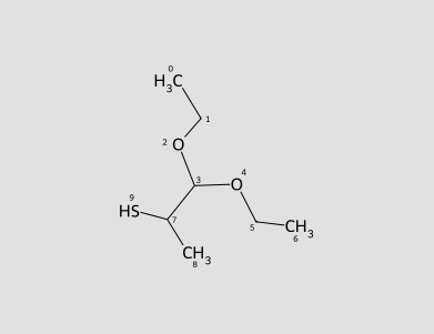 CCOC(OCC)C(C)S